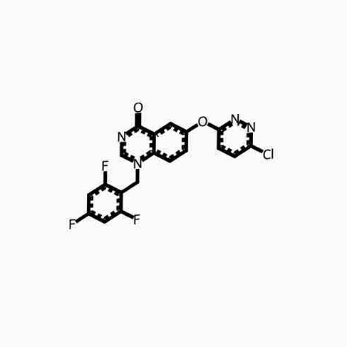 O=c1ncn(Cc2c(F)cc(F)cc2F)c2ccc(Oc3ccc(Cl)nn3)cc12